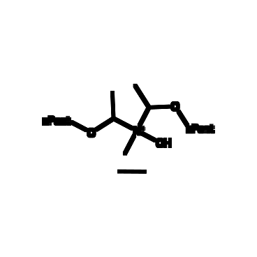 CC.CCCCCOC(C)[N+](C)(O)C(C)OCCCCC